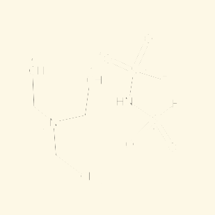 CCN(CC)CC.O=S(=O)(F)NS(=O)(=O)F